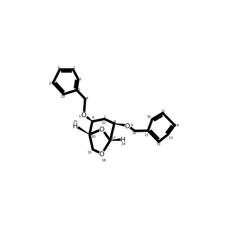 c1ccc(CO[C@H]2C[C@@H](OCc3ccccc3)[C@@H]3OC[C@H]2O3)cc1